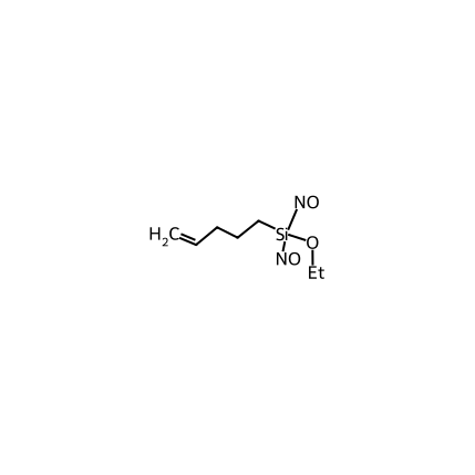 C=CCCC[Si](N=O)(N=O)OCC